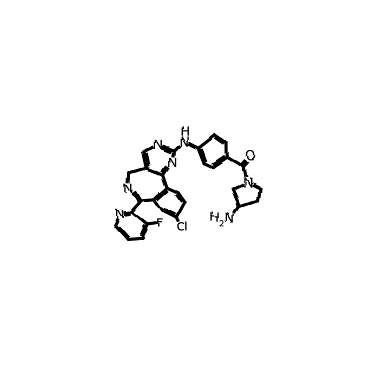 NC1CCN(C(=O)c2ccc(Nc3ncc4c(n3)-c3ccc(Cl)cc3C(c3ncccc3F)=NC4)cc2)C1